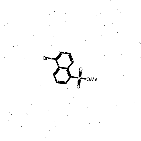 [CH2]OS(=O)(=O)c1cccc2c(Br)cccc12